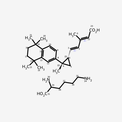 CC(/C=C/[C@@H]1C[C@]1(C)c1ccc2c(c1)C(C)(C)CCC2(C)C)=C\C(=O)O.NCCCCC(N)C(=O)O